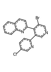 Clc1ccc(-c2[c]ncc(Br)c2-c2ccc3ccccc3n2)nc1